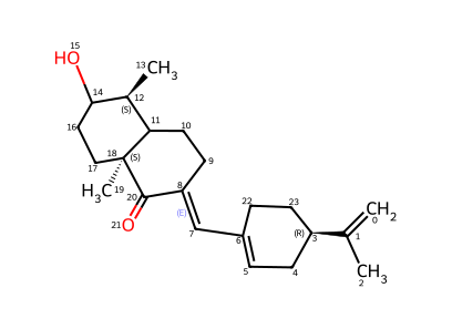 C=C(C)[C@H]1CC=C(/C=C2\CCC3[C@H](C)C(O)CC[C@]3(C)C2=O)CC1